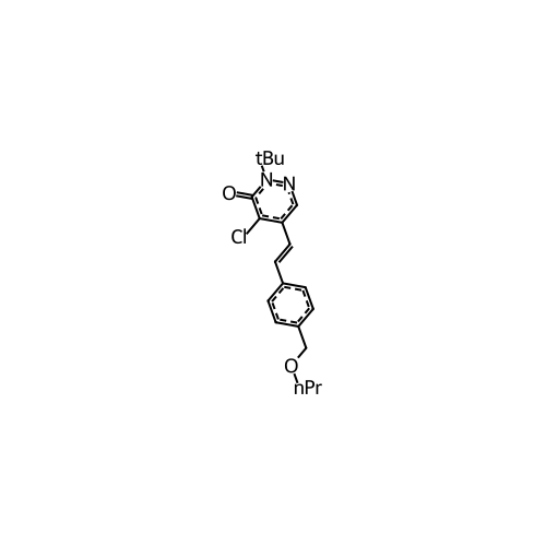 CCCOCc1ccc(/C=C/c2cnn(C(C)(C)C)c(=O)c2Cl)cc1